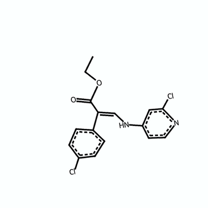 CCOC(=O)/C(=C/Nc1ccnc(Cl)c1)c1ccc(Cl)cc1